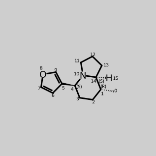 C[C@@H]1CC[C@@H](c2ccoc2)N2CCC[C@@H]12